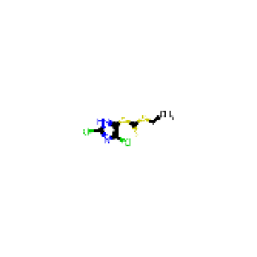 CCSC(=S)Sc1[nH]c(Cl)nc1Cl